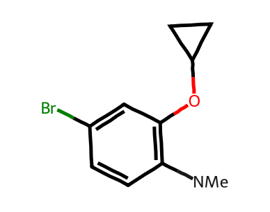 CNc1ccc(Br)cc1OC1CC1